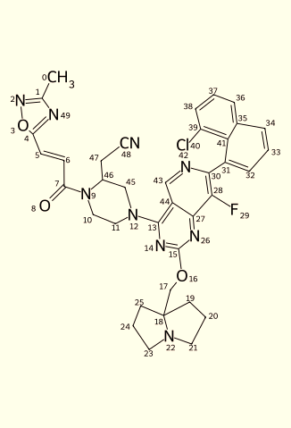 Cc1noc(/C=C/C(=O)N2CCN(c3nc(OCC45CCCN4CCC5)nc4c(F)c(-c5cccc6cccc(Cl)c56)ncc34)CC2CC#N)n1